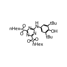 CCCCCCS(=O)(=O)c1nc(Nc2cc(C(C)(C)C)c(O)c(C(C)(C)C)c2)nc(S(=O)(=O)CCCCCC)n1